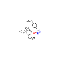 CC1(C(=O)O)C=CC=C(C(=O)O)C1.COc1ccc(C2=CN=NC2=O)cc1